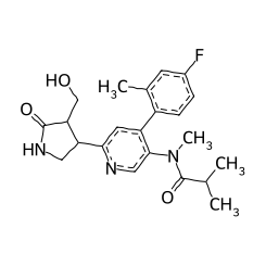 Cc1cc(F)ccc1-c1cc(C2CNC(=O)C2CO)ncc1N(C)C(=O)C(C)C